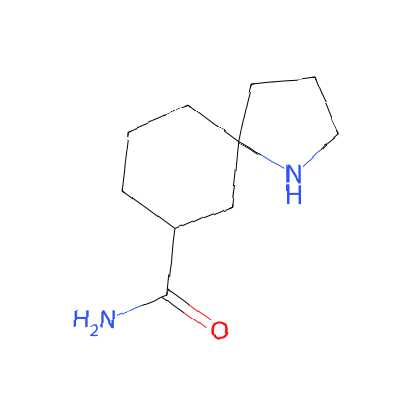 NC(=O)C1CCCC2(CCCN2)C1